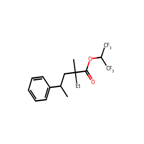 CCC(C)(CC(C)c1ccccc1)C(=O)OC(C(F)(F)F)C(F)(F)F